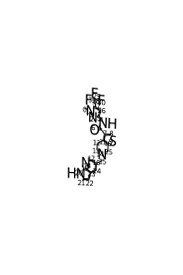 Cn1nc(NC(=O)c2csc3c2CCN(Cc2cnc4[nH]ccc4c2)C3)cc1C(F)(F)F